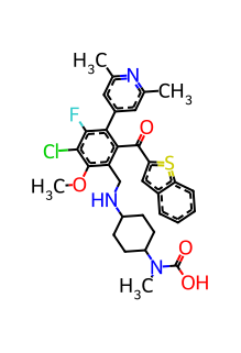 COc1c(Cl)c(F)c(-c2cc(C)nc(C)c2)c(C(=O)c2cc3ccccc3s2)c1CNC1CCC(N(C)C(=O)O)CC1